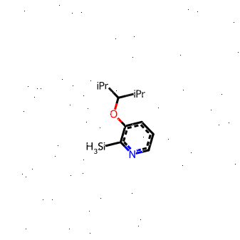 CC(C)C(Oc1cccnc1[SiH3])C(C)C